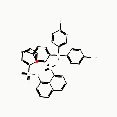 CC(C)(C)c1ccc(S(OS(=O)(=O)c2cccc3cccc(OS(=O)(=O)c4ccccc4)c23)(c2ccc(C(C)(C)C)cc2)c2ccc(C(C)(C)C)cc2)cc1